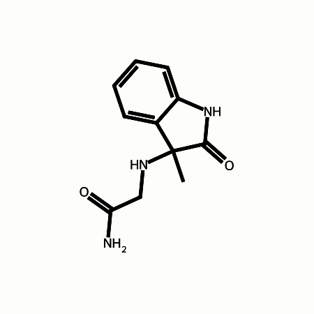 CC1(NCC(N)=O)C(=O)Nc2ccccc21